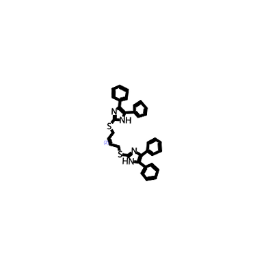 C(=C/CSc1nc(-c2ccccc2)c(-c2ccccc2)[nH]1)/CSc1nc(-c2ccccc2)c(-c2ccccc2)[nH]1